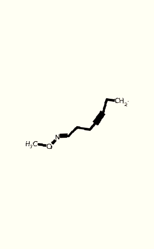 [CH2]CC#CCC/C=N/OC